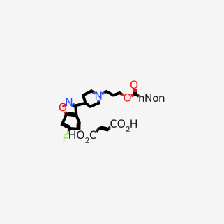 CCCCCCCCCC(=O)OCCCN1CCC(c2noc3cc(F)ccc23)CC1.O=C(O)/C=C/C(=O)O